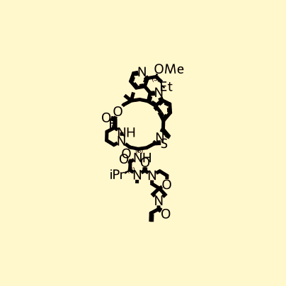 C=CC(=O)N1CC2(C1)CN(C(=O)N(C)[C@H](C(=O)N[C@H]1Cc3nc(cs3)-c3ccc4c(c3)c(c(-c3cccnc3[C@H](C)OC)n4CC)CC(C)(C)COC(=O)[C@@H]3CCCN(N3)C1=O)C(C)C)CCO2